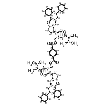 BN(C)[C@@H](C)C(=O)N[C@@H](COC(=O)c1ccc(C(=O)OC[C@H](NC(=O)[C@H](C)N(C)C)C(=O)N2CCC[C@H]2CN(CCc2ccccc2)C(=O)c2ccccc2)cc1)C(=O)N1CCC[C@H]1CN(CCc1ccccc1)C(=O)c1ccccc1